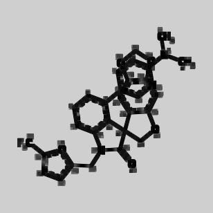 CN(C)c1ccc(-c2cccc3c2C2(COc4cc5c(cc42)OCO5)C(=O)N3Cc2ccc(C(F)(F)F)o2)cn1